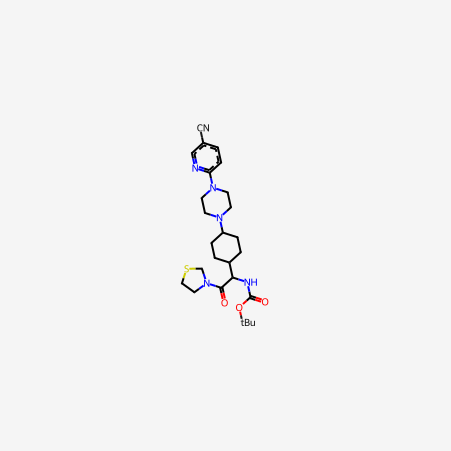 CC(C)(C)OC(=O)NC(C(=O)N1CCSC1)C1CCC(N2CCN(c3ccc(C#N)cn3)CC2)CC1